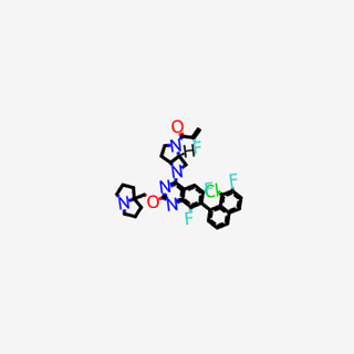 C=C(F)C(=O)N1CCC2[C@H]1CN2c1nc(OCC23CCCN2CCC3)nc2c(F)c(-c3cccc4ccc(F)c(Cl)c34)c(F)cc12